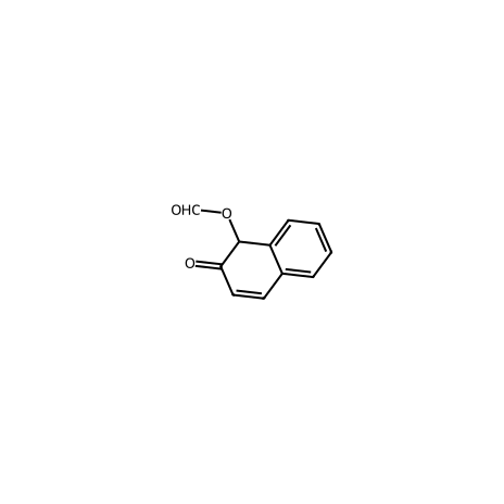 O=COC1C(=O)C=Cc2ccccc21